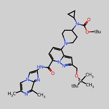 Cc1cn2cc(NC(=O)c3ccc(N4CCC(N(C(=O)OC(C)(C)C)C5CC5)CC4)c4cc(CO[Si](C)(C)C(C)(C)C)nn34)nc2c(C)n1